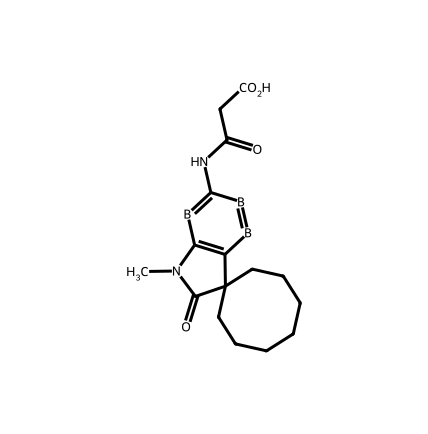 CN1C(=O)C2(CCCCCCC2)c2bbc(NC(=O)CC(=O)O)bc21